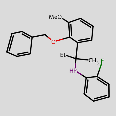 CCC(C)(Pc1ccccc1F)c1cccc(OC)c1OCc1ccccc1